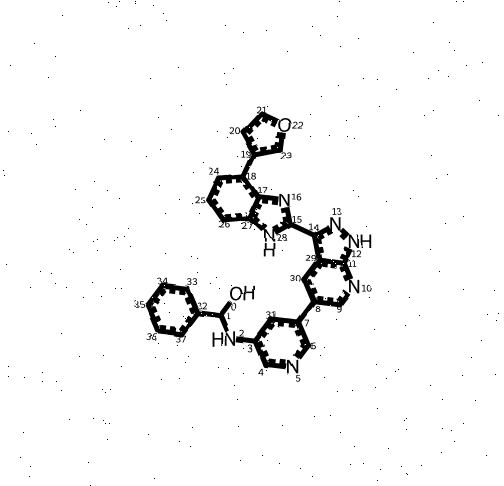 OC(Nc1cncc(-c2cnc3[nH]nc(-c4nc5c(-c6ccoc6)cccc5[nH]4)c3c2)c1)c1ccccc1